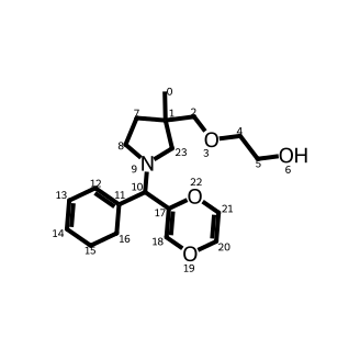 CC1(COCCO)CCN(C(C2=CC=CCC2)C2=COC=CO2)C1